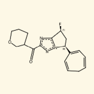 O=C(c1nc2n(n1)[C@H](C1=CC=CCC=C1)C[C@@H]2F)C1CCCOC1